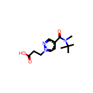 CN(C(=O)c1cc[n+](CCC(=O)O)nc1)C(C)(C)C